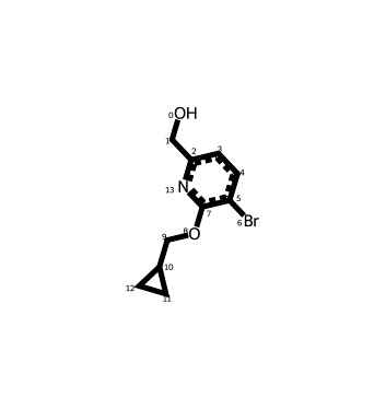 OCc1ccc(Br)c(OCC2CC2)n1